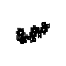 COc1cc2c(Nc3ccc(Cl)c(Cl)c3)ncnc2cc1OCc1noc(C)c1-c1ccccc1